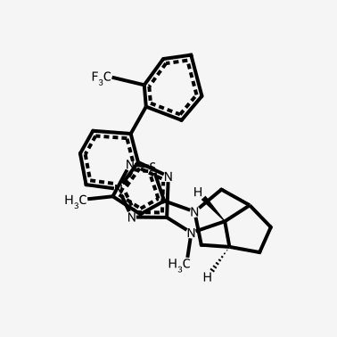 Cc1cc(N2CC3CC[C@@H](C2)[C@@H]3N(C)c2nc3c(-c4ccccc4C(F)(F)F)cccn3n2)sn1